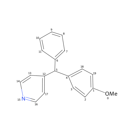 COc1ccc(C(c2ccccc2)c2ccncc2)cc1